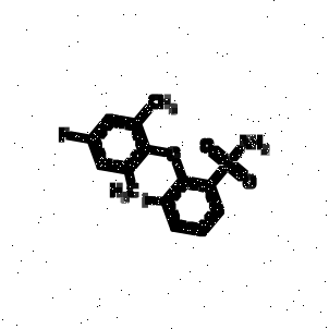 Cc1cc(F)cc(C)c1Oc1c(I)cccc1S(N)(=O)=O